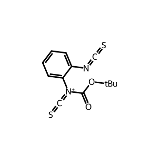 CC(C)(C)OC(=O)[N+](=C=S)c1ccccc1N=C=S